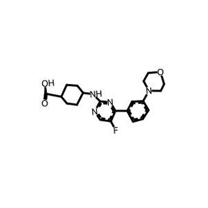 O=C(O)C1CCC(Nc2ncc(F)c(-c3cccc(N4CCOCC4)c3)n2)CC1